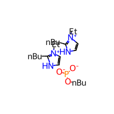 CCCCOP([O-])[O-].CCCCc1[nH]cc[n+]1CC.CCCCc1[nH]cc[n+]1CC